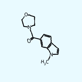 Cn1ccc2ccc(C(=O)N3CCOCC3)cc21